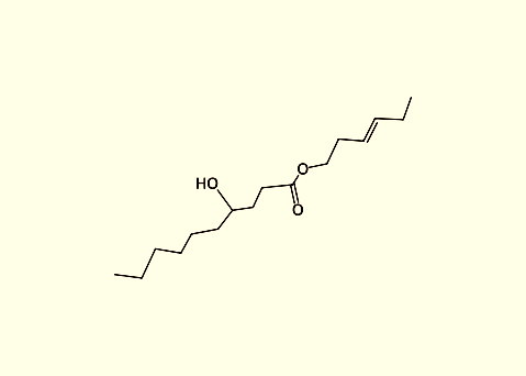 CCC=CCCOC(=O)CCC(O)CCCCCC